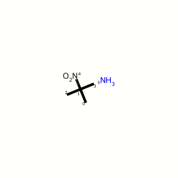 CC(C)(C)[N+](=O)[O-].N